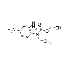 CCOC(=O)N(CC)c1ccc(N)cc1N